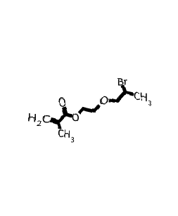 C=C(C)C(=O)OCCOCC(C)Br